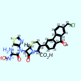 N/C(=N\O)C(=O)N(c1cscn1)[C@@H]1C(=O)N2C(C(=O)O)=C(c3ccc4c(c3)-c3ccc(CCl)cc3C4=O)CS[C@@H]12